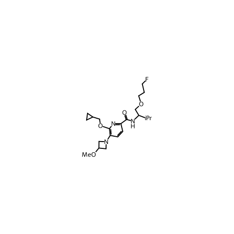 COC1CN(c2ccc(C(=O)NC(COCCCF)C(C)C)nc2OCC2CC2)C1